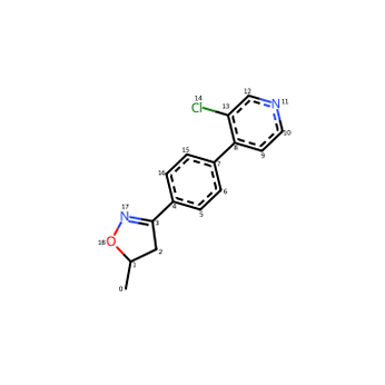 CC1CC(c2ccc(-c3ccncc3Cl)cc2)=NO1